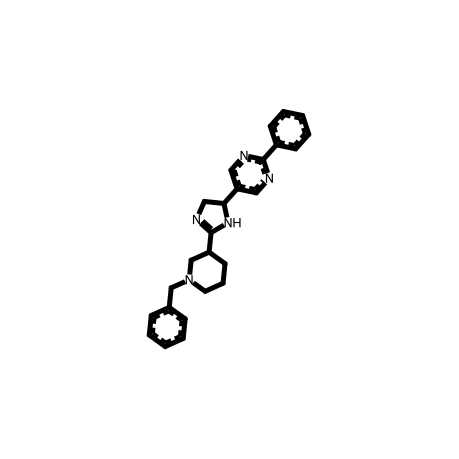 c1ccc(CN2CCCC(C3=NCC(c4cnc(-c5ccccc5)nc4)N3)C2)cc1